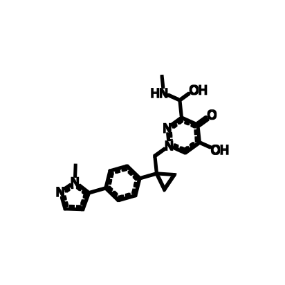 CNC(O)c1nn(CC2(c3ccc(-c4ccnn4C)cc3)CC2)cc(O)c1=O